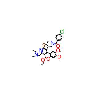 CCOC(=O)c1c(CN(CC)CC)nc2sc3c(c2c1-c1ccc(OC)c(OC)c1)CN(C(=O)c1ccc(Cl)cc1)CC3